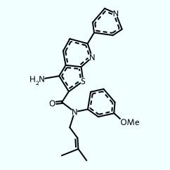 COc1cccc(N(CC=C(C)C)C(=O)c2sc3nc(-c4ccncc4)ccc3c2N)c1